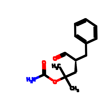 CC(C)(C[C@H](C=O)Cc1ccccc1)OC(N)=O